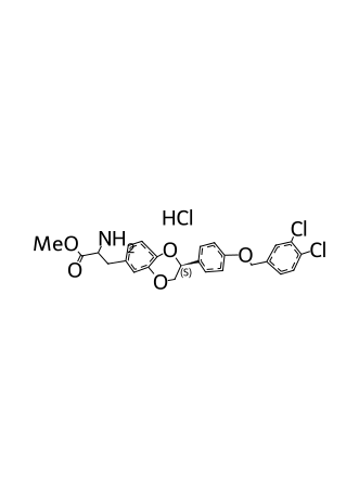 COC(=O)C(N)Cc1ccc2c(c1)OC[C@H](c1ccc(OCc3ccc(Cl)c(Cl)c3)cc1)O2.Cl